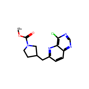 CC(C)(C)OC(=O)N1CCC(Cc2ccc3ncnc(Cl)c3n2)C1